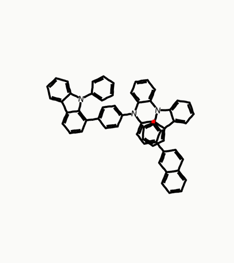 c1ccc(-n2c3ccccc3c3cccc(-c4ccc(N(c5ccc(-c6ccc7ccccc7c6)cc5)c5ccccc5-n5c6ccccc6c6ccccc65)cc4)c32)cc1